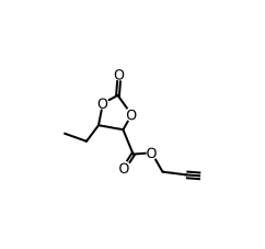 C#CCOC(=O)C1OC(=O)OC1CC